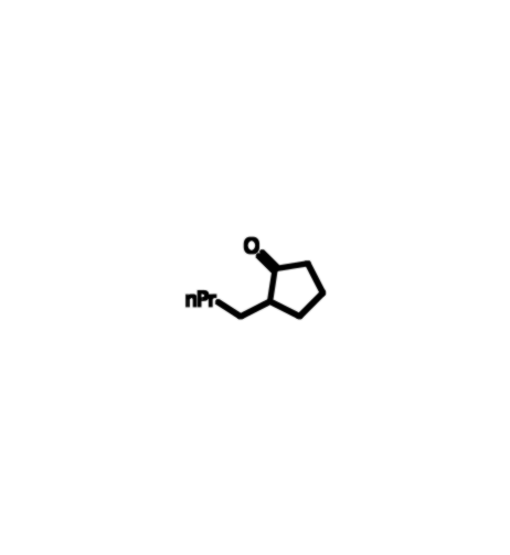 CCCCC1CCCC1=O